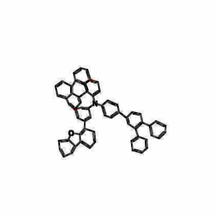 c1ccc(-c2ccc(-c3ccc(N(c4cccc(-c5cccc6c5oc5ccccc56)c4)c4ccccc4-c4cccc5cccc(-c6ccccc6)c45)cc3)cc2-c2ccccc2)cc1